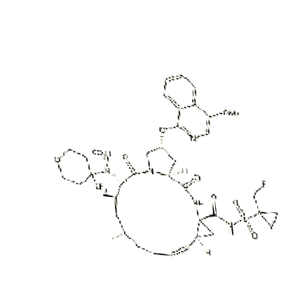 COc1cnc(O[C@@H]2C[C@H]3C(=O)N[C@]4(C(=O)NS(=O)(=O)C5(CF)CC5)C[C@H]4/C=C\CC[C@H](C)C[C@@H](C)[C@H](N(C(=O)O)C4(C(F)(F)F)CCOCC4)C(=O)N3C2)c2ccccc12